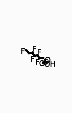 O=S(=O)(O)CC(F)C(F)C(F)C(F)CCF